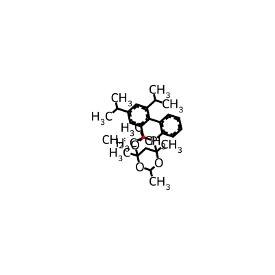 CC1OC2(C)CC(C)(O1)P(c1ccccc1-c1c(C(C)C)cc(C(C)C)cc1C(C)C)C(C)O2.[CH2]